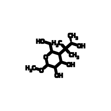 COC1OC(CO)C(C(C)(C)[C@H](C)O)C(O)C1O